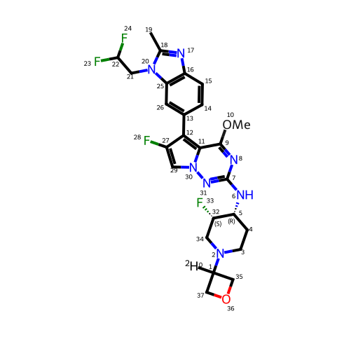 [2H]C1(N2CC[C@@H](Nc3nc(OC)c4c(-c5ccc6nc(C)n(CC(F)F)c6c5)c(F)cn4n3)[C@@H](F)C2)COC1